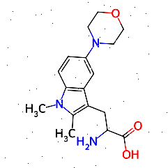 Cc1c(CC(N)C(=O)O)c2cc(N3CCOCC3)ccc2n1C